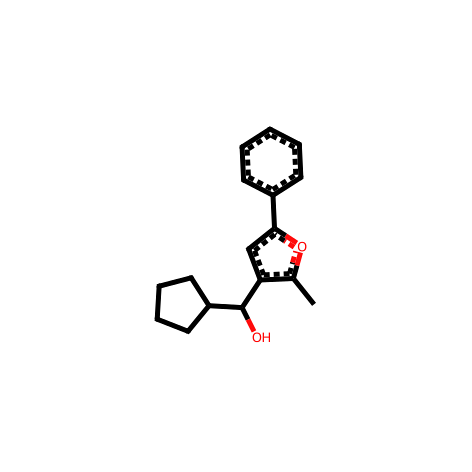 Cc1oc(-c2ccccc2)cc1C(O)C1CCCC1